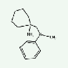 CN(CC1(N)CCCCC1)c1ccccc1